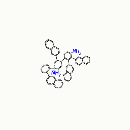 Nc1ccc(C2C=CC(N)(c3ccccc3-c3ccc4ccccc4c3)C=C2c2ccc3ccccc3c2)c(-c2ccc3ccccc3c2)c1-c1ccc2ccccc2c1